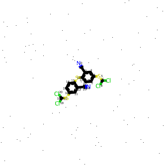 N#Cc1cc(SC(Cl)Cl)ccc1Sc1ccc(SC(Cl)Cl)cc1C#N